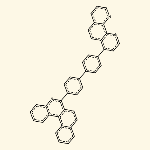 c1ccc2c(c1)ccc1c(-c3ccc(-c4ccc(-c5ccnc6c5ccc5cccnc56)cc4)cc3)nc3ccccc3c12